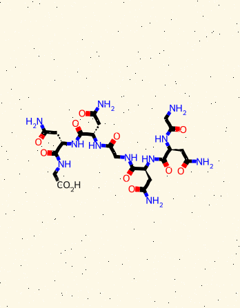 NCC(=O)N[C@@H](CC(N)=O)C(=O)N[C@@H](CC(N)=O)C(=O)NCC(=O)N[C@@H](CC(N)=O)C(=O)N[C@@H](CC(N)=O)C(=O)NCC(=O)O